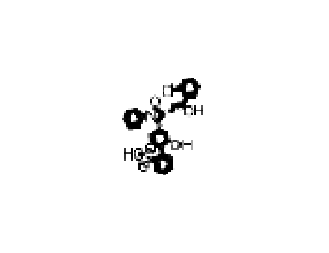 O=C1[C@H](CC[C@H](O)c2ccccc2Cl)[C@@H](c2ccc(-c3ccccc3S(=O)(=O)O)c(O)c2)N1c1ccccc1